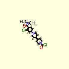 CN(C)C(=O)c1ccc(N2CCC(C3CCN(C(=O)Cl)CC3)CC2)cc1Cl